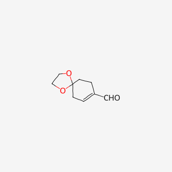 O=CC1=CCC2(CC1)OCCO2